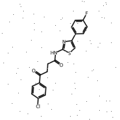 O=C(CCC(=O)c1ccc(Cl)cc1)Nc1nc(-c2ccc(F)cc2)cs1